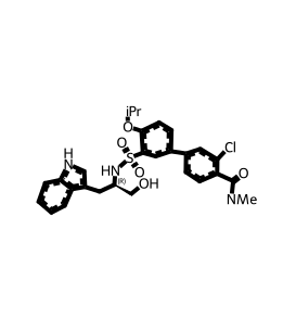 CNC(=O)c1ccc(-c2ccc(OC(C)C)c(S(=O)(=O)N[C@@H](CO)Cc3c[nH]c4ccccc34)c2)cc1Cl